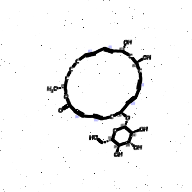 C[C@@H]1CCC/C=C/C=C/[C@H](O)C[C@@H](O)C/C=C\C=C\[C@@H](O[C@H]2O[C@@H](CO)[C@H](O)[C@@H](O)[C@@H]2O)C/C=C/C=C\C(=O)O1